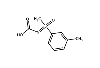 Cc1cccc(S(C)(=O)=NC(=O)O)c1